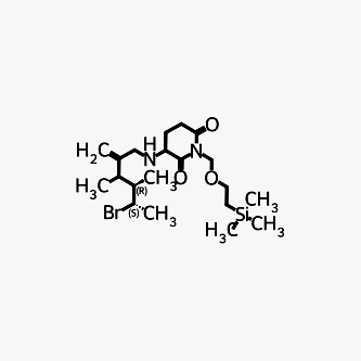 C=C(CNC1CCC(=O)N(COCC[Si](C)(C)C)C1=O)C(C)[C@@H](C)[C@H](C)Br